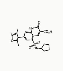 Cc1noc(C)c1-c1cc(S(=O)(=O)NC2CCCC2)c2cc(C(=O)O)c(=O)[nH]c2c1